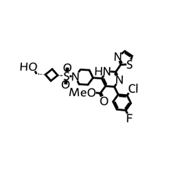 COC(=O)C1=C(C2CCN(S(=O)(=O)[C@H]3C[C@@H](CO)C3)CC2)NC(c2nccs2)=NC1c1ccc(F)cc1Cl